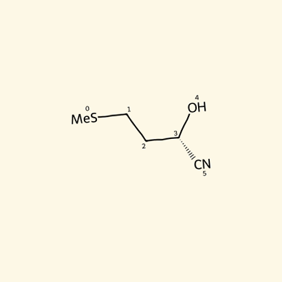 CSCC[C@H](O)C#N